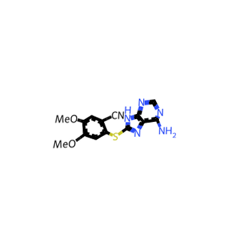 COc1cc(C#N)c(Sc2nc3c(N)ncnc3[nH]2)cc1OC